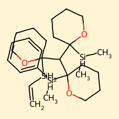 C=C[SiH2]C1(C(C2([SiH](C)C)CCCCO2)C2([SiH](C)c3ccccc3)CCCCO2)CCCCO1